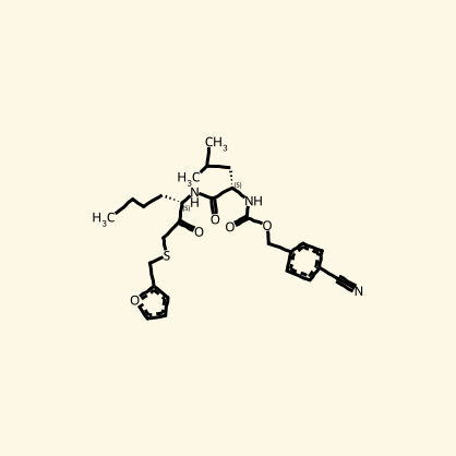 CCCC[C@H](NC(=O)[C@H](CC(C)C)NC(=O)OCc1ccc(C#N)cc1)C(=O)CSCc1ccco1